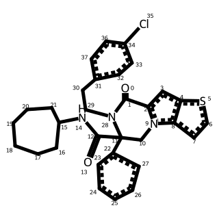 O=C1c2cc3sccc3n2CC(C(=O)NC2CCCCCC2)(c2ccccc2)N1CCc1ccc(Cl)cc1